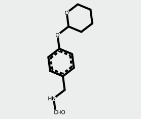 O=CNCc1ccc(OC2CCCCO2)cc1